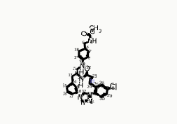 COC(=O)NCc1ccc(NC[C@H](Cc2ccccc2)NC(=O)/C=C/c2cc(Cl)ccc2-n2cnnn2)cc1